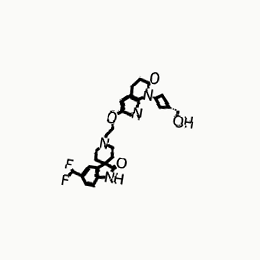 O=C1CCc2cc(OCCN3CCC4(CC3)C(=O)Nc3ccc(C(F)F)cc34)cnc2N1[C@H]1C[C@@H](CO)C1